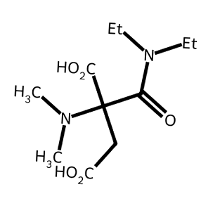 CCN(CC)C(=O)C(CC(=O)O)(C(=O)O)N(C)C